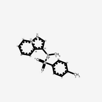 Cc1ccc(S(=O)(=O)[SH](C)c2cnn3ccccc23)cc1